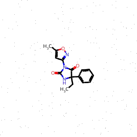 CCC1(c2ccccc2)NC(=O)N(c2cc(C)on2)C1=O